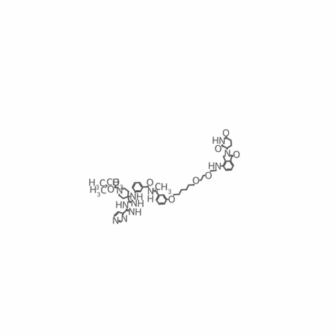 C[C@@H](NC(=O)c1cccc(NC2(C(=N)NC(=N)c3ccncn3)CCN(C(=O)OC(C)(C)C)CC2)c1)c1cccc(OCCCCCCOCCOCCNc2cccc3c2CN(C2CCC(=O)NC2=O)C3=O)c1